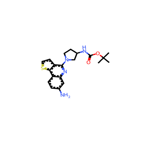 CC(C)(C)OC(=O)NC1CCN(c2nc3cc(N)ccc3c3sccc23)C1